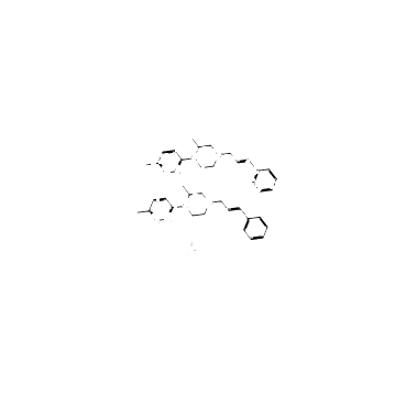 CC1CN(CC=Cc2ccccc2)CCN1c1ccc(Cl)nn1.CC1CN(CC=Cc2ccccc2)CCN1c1ccc(Cl)nn1.Cl.Cl.O